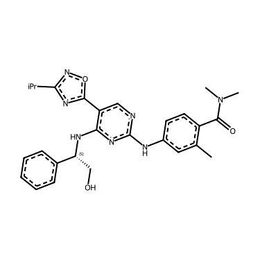 Cc1cc(Nc2ncc(-c3nc(C(C)C)no3)c(N[C@H](CO)c3ccccc3)n2)ccc1C(=O)N(C)C